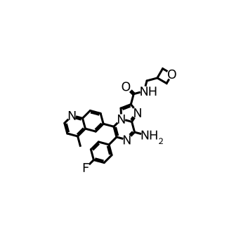 Cc1ccnc2ccc(-c3c(-c4ccc(F)cc4)nc(N)c4nc(C(=O)NCC5COC5)cn34)cc12